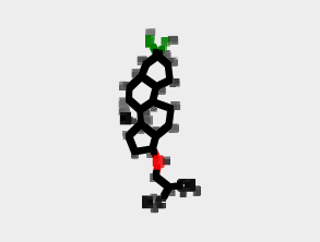 CC(C)COC1CC[C@@H]2C1CCC1C3CCC(F)(F)CC3CCC12